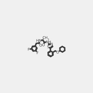 C[C@H](NC(=O)Cc1cc(F)cc(F)c1)C(=O)Nc1ncc(-c2ccccc2COC2CCCCC2)s1